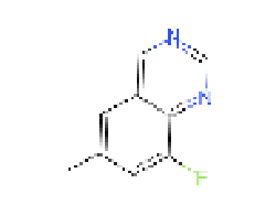 Cc1cc(F)c2ncncc2c1